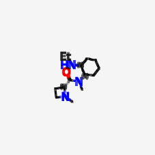 CCN[C@H]1CCCC[C@@H]1N(C)C(=O)[C@H]1CCN1C